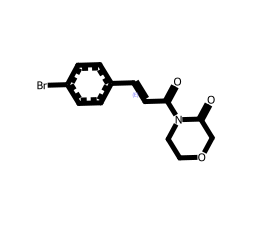 O=C(/C=C/c1ccc(Br)cc1)N1CCOCC1=O